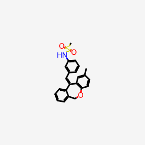 Cc1ccc2c(c1)/C(=C\c1cccc(NS(C)(=O)=O)c1)c1ccccc1CO2